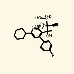 C#CC(C(=O)O)([PH](=O)O)C(C)(O)c1c(-c2ccc(F)cc2)cc(C2CCCCC2)nc1C(C)C